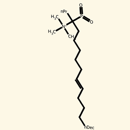 CCCCCCCCCCCCCC=CCCCCCC(CCC)(P(=O)=O)[N+](C)(C)C